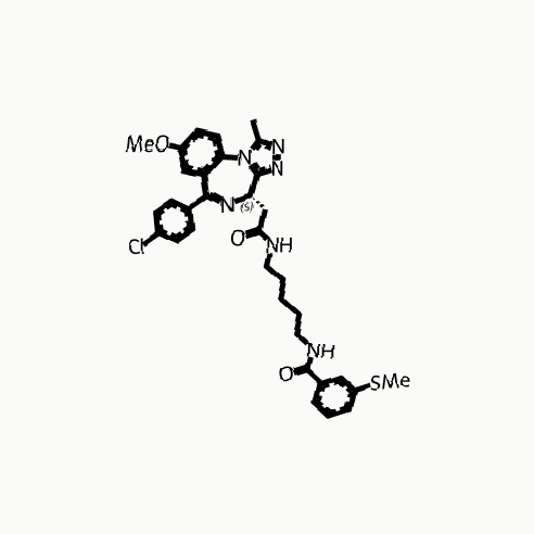 COc1ccc2c(c1)C(c1ccc(Cl)cc1)=N[C@@H](CC(=O)NCCCCCNC(=O)c1cccc(SC)c1)c1nnc(C)n1-2